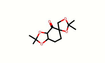 CC1(C)OC2CCC3(COC(C)(C)O3)C(=O)C2O1